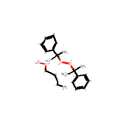 CC(C)(OOC(C)(C)c1ccccc1)c1ccccc1.CCCCOO